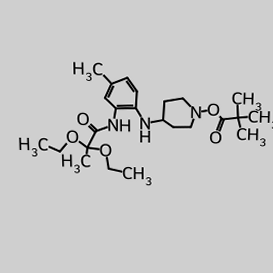 CCOC(C)(OCC)C(=O)Nc1cc(C)ccc1NC1CCN(OC(=O)C(C)(C)C)CC1